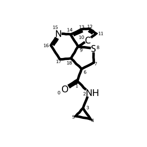 O=C(NC1CC1)C1CSC23CC=CC=C2N=CCC13